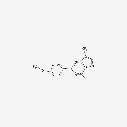 Cc1nc(-c2ccc(OC(F)(F)F)cc2)cn2c(C(F)(F)F)nnc12